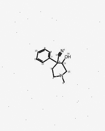 CN1CCC(C#N)(c2ccccc2)C(O)C1